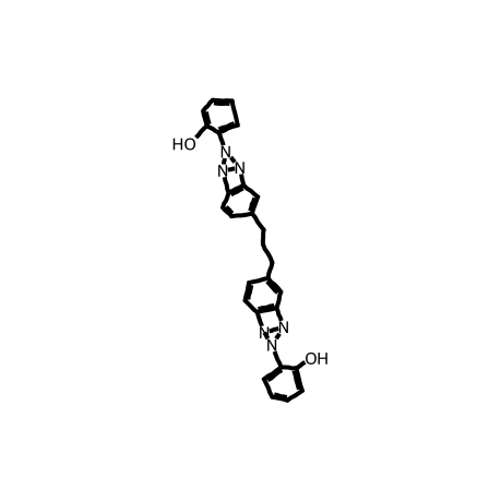 Oc1ccccc1-n1n2c3ccc(CCCc4ccc5c(c4)n4n(-c6ccccc6O)n54)cc3n12